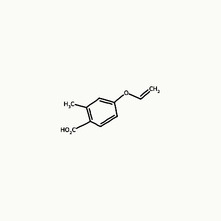 C=COc1ccc(C(=O)O)c(C)c1